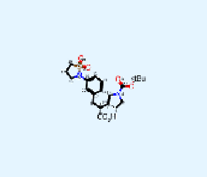 CC(C)(C)OC(=O)N1CC[C@H]([C@H](Cc2cccc(N3CCCS3(=O)=O)c2)C(=O)O)C1